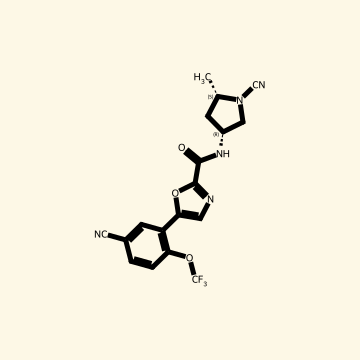 C[C@H]1C[C@@H](NC(=O)c2ncc(-c3cc(C#N)ccc3OC(F)(F)F)o2)CN1C#N